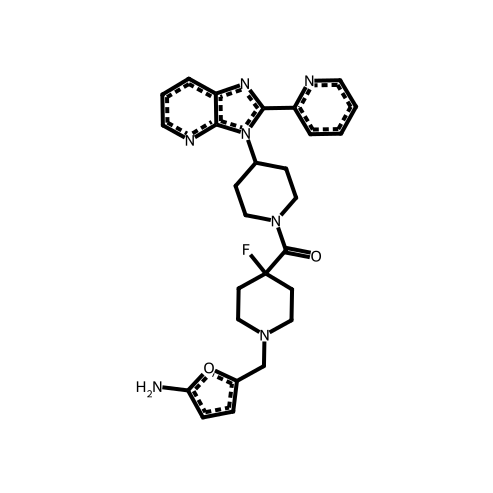 Nc1ccc(CN2CCC(F)(C(=O)N3CCC(n4c(-c5ccccn5)nc5cccnc54)CC3)CC2)o1